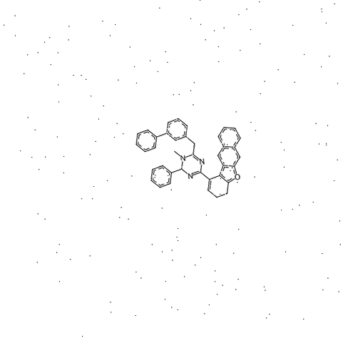 CN1C(Cc2cccc(-c3ccccc3)c2)=NC(C2=CCCc3oc4cc5ccccc5cc4c32)=NC1c1ccccc1